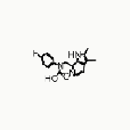 Cc1[nH]c2c(CN(C(=O)O)c3ccc(F)cc3)nccc2c1C